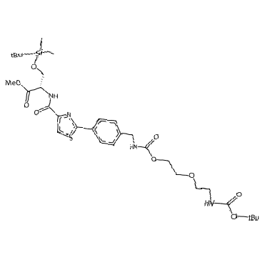 COC(=O)[C@H](CO[Si](C)(C)C(C)(C)C)NC(=O)c1csc(-c2ccc(CNC(=O)OCCOCCNC(=O)OC(C)(C)C)cc2)n1